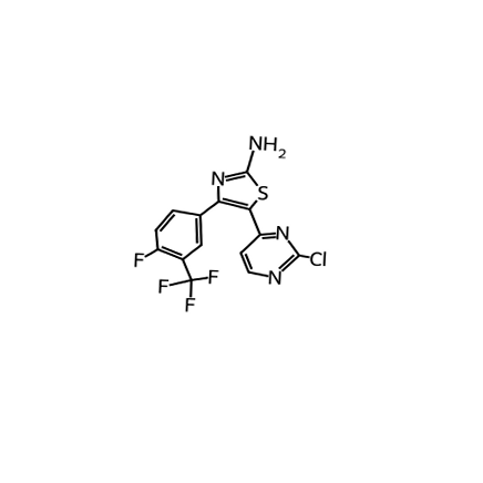 Nc1nc(-c2ccc(F)c(C(F)(F)F)c2)c(-c2ccnc(Cl)n2)s1